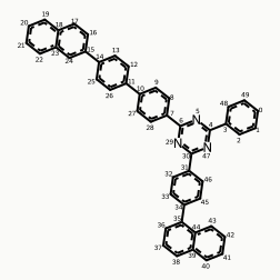 c1ccc(-c2nc(-c3ccc(-c4ccc(-c5ccc6ccccc6c5)cc4)cc3)nc(-c3ccc(-c4cccc5ccccc45)cc3)n2)cc1